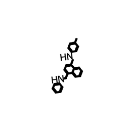 Cc1ccc(NCc2ccc(CNc3ccccc3)c3ccccc23)cc1